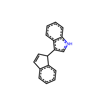 [c]1[nH]c2ccccc2c1C1C=Cc2ccccc21